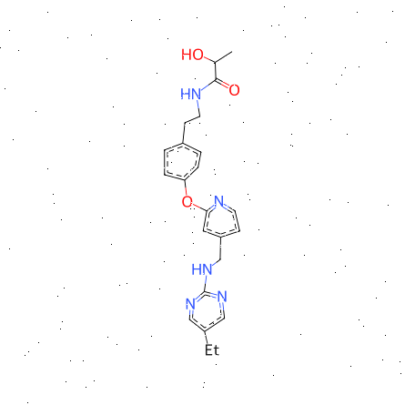 CCc1cnc(NCc2ccnc(Oc3ccc(CCNC(=O)C(C)O)cc3)c2)nc1